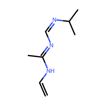 C=CN/C(C)=N/C=N\C(C)C